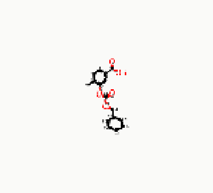 Cc1ccc(C(=O)O)cc1OC(=O)OCc1ccccc1